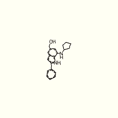 OCc1cc(NC2CCCC2)c2[nH]c(-c3ccccc3)cc2c1